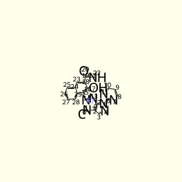 [C-]#[N+]c1cnn(-c2ncccn2)c1/N=N/c1c(O)c(C(=O)NC)cc2ccccc12